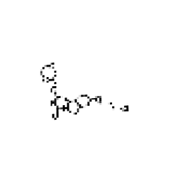 O=c1nc(OCC2COCCO2)cc2n1CCc1cc(OCCCC3CC3)ccc1-2